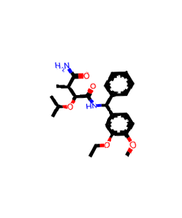 CCOc1cc(C(NC(=O)C(OC(C)C)C(C)C(N)=O)c2ccccc2)ccc1OC